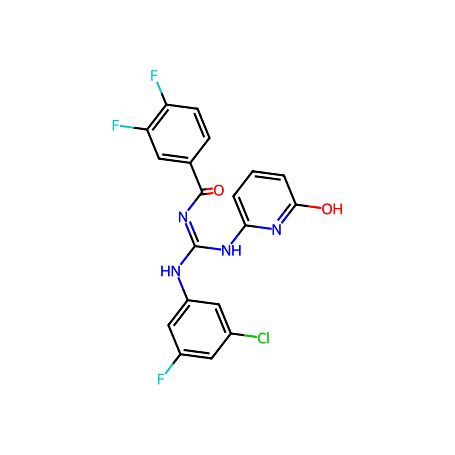 O=C(/N=C(/Nc1cc(F)cc(Cl)c1)Nc1cccc(O)n1)c1ccc(F)c(F)c1